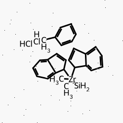 Cc1ccccc1.Cl.Cl.[CH3][Zr]([CH3])(=[SiH2])([CH]1C=Cc2ccccc21)[CH]1C=Cc2ccccc21